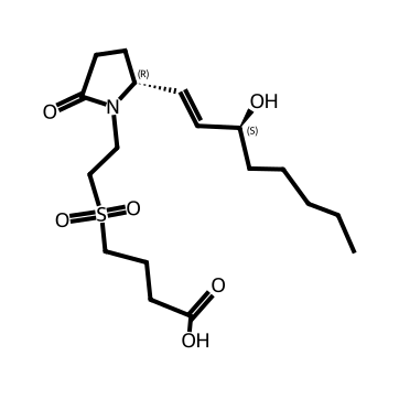 CCCCC[C@H](O)C=C[C@H]1CCC(=O)N1CCS(=O)(=O)CCCC(=O)O